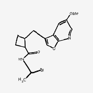 COc1cnc2occ(CC3CCC3C(=O)NC(C)Br)c2c1